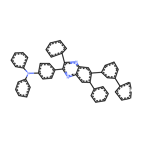 c1ccc(-c2cccc(-c3cc4nc(-c5ccccc5)c(-c5ccc(N(c6ccccc6)c6ccccc6)cc5)nc4cc3-c3ccccc3)c2)cc1